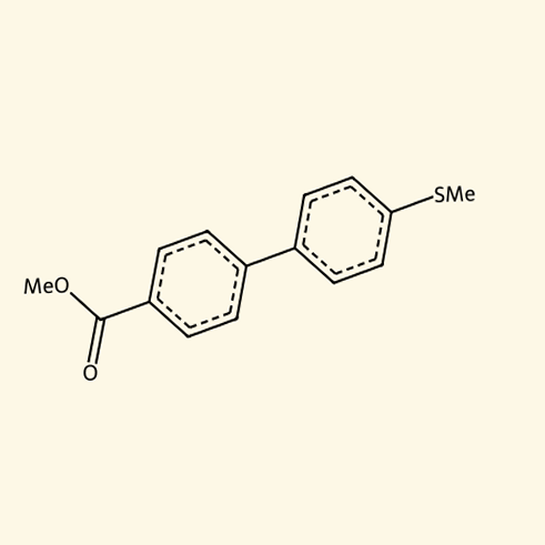 COC(=O)c1ccc(-c2ccc(SC)cc2)cc1